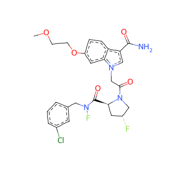 COCCOc1ccc2c(C(N)=O)cn(CC(=O)N3C[C@H](F)C[C@H]3C(=O)N(F)Cc3cccc(Cl)c3)c2c1